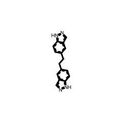 [CH](Cc1ccc2[nH]ncc2c1)c1ccc2[nH]ncc2c1